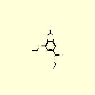 CCOC(=O)c1cc(OCC)c2[nH]c(=O)oc2c1